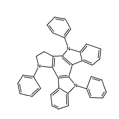 c1ccc(N2CCc3c2c2c4ccccc4n(-c4ccccc4)c2c2c4ccccc4n(-c4ccccc4)c32)cc1